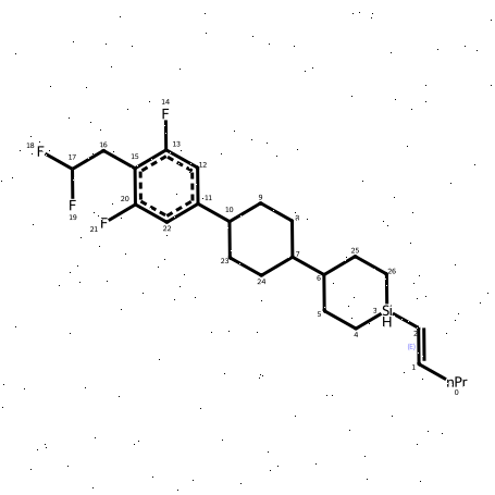 CCC/C=C/[SiH]1CCC(C2CCC(c3cc(F)c(CC(F)F)c(F)c3)CC2)CC1